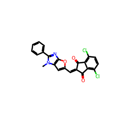 Cn1c(-c2ccccc2)nc2oc(C=C3C(=O)c4c(Cl)ccc(Cl)c4C3=O)cc21